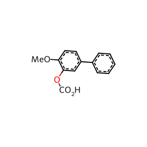 COc1ccc(-c2ccccc2)cc1OC(=O)O